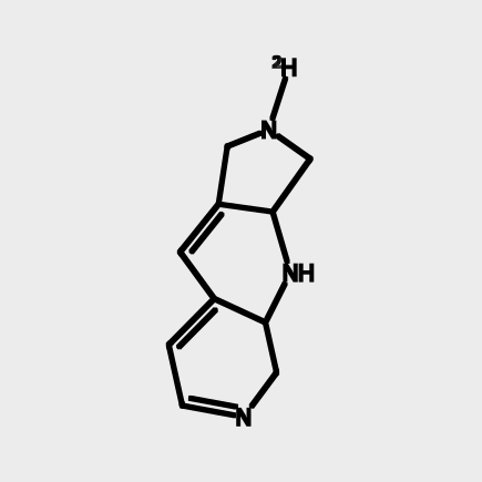 [2H]N1CC2=CC3=CC=NCC3NC2C1